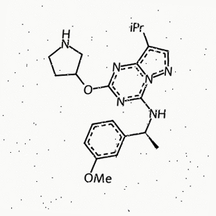 COc1cccc([C@H](C)Nc2nc(OC3CCNC3)nc3c(C(C)C)cnn23)c1